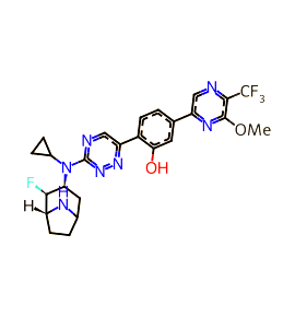 COc1nc(-c2ccc(-c3cnc(N(C4CC4)[C@H]4CC5CC[C@@H](N5)[C@H]4F)nn3)c(O)c2)cnc1C(F)(F)F